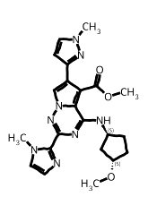 COC(=O)c1c(-c2ccn(C)n2)cn2nc(-c3nccn3C)nc(N[C@H]3CC[C@H](OC)C3)c12